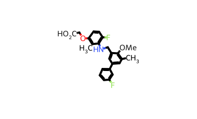 COc1c(C)cc(-c2cccc(F)c2)cc1CNc1c(F)ccc(OCC(=O)O)c1C